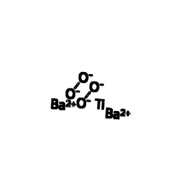 [Ba+2].[Ba+2].[O-][O-].[O-][O-].[Ti]